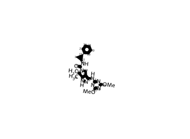 COc1nc(Nc2n[nH]c3c2CN(C(=O)NC2C[C@@H]2c2ccccc2)C3(C)C)nc(OC)n1